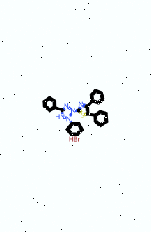 Br.c1ccc(C2=NN(c3nc(-c4ccccc4)c(-c4ccccc4)s3)N(c3ccccc3)N2)cc1